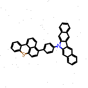 c1ccc2c(c1)Sc1ccc(-c3ccc(-n4c5cc6ccccc6cc5c5cc6ccccc6cc54)cc3)c3cccc-2c13